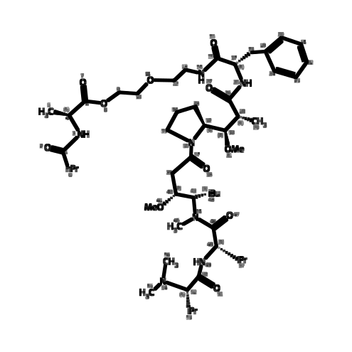 CCCC(=O)N[C@@H](C)C(=O)OCCOCCNC(=O)[C@H](Cc1ccccc1)NC(=O)[C@H](C)[C@@H](OC)[C@@H]1CCCN1C(=O)C[C@@H](OC)C([C@@H](C)CC)N(C)C(=O)[C@@H](NC(=O)[C@H](C(C)C)N(C)C)C(C)C